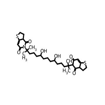 CC(C)(CCCC(O)CCCC(O)CCCC(C)(C)N1C(=O)C=C2SCCC2C1=O)C1C(=O)C=C2SCCC2C1=O